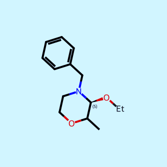 CCO[C@H]1C(C)OCCN1Cc1ccccc1